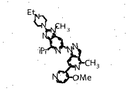 CCN1CCN(c2nc3c(C(C)C)nc(-n4ncc5c(C)nc(-c6cnccc6OC)cc54)cc3n2C)CC1